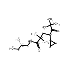 CC(C)(C)C(=O)N(CC(C)(C)C(=O)NC[C@@H](O)CO)C1CC1